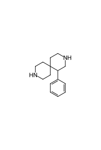 c1ccc(C2CNCCC23CCNCC3)cc1